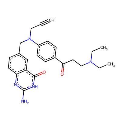 C#CCN(Cc1ccc2nc(N)[nH]c(=O)c2c1)c1ccc(C(=O)CCN(CC)CC)cc1